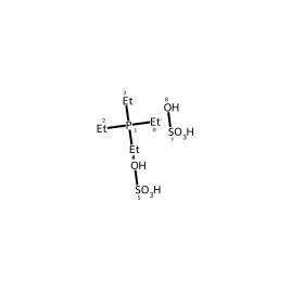 CC[P](CC)(CC)CC.O=S(=O)(O)O.O=S(=O)(O)O